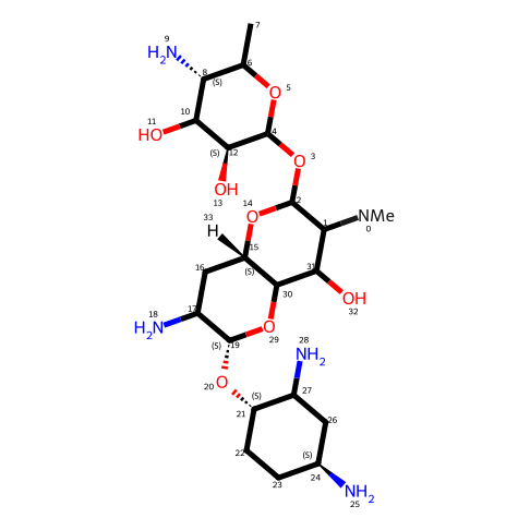 CNC1C(OC2OC(C)[C@@H](N)C(O)[C@@H]2O)O[C@H]2CC(N)[C@@H](O[C@H]3CC[C@H](N)CC3N)OC2C1O